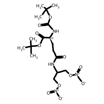 CC(C)(C)OC(=O)N[C@@H](CCC(=O)NC(CO[N+](=O)[O-])CO[N+](=O)[O-])C(=O)OC(C)(C)C